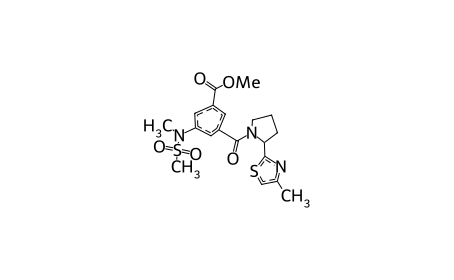 COC(=O)c1cc(C(=O)N2CCCC2c2nc(C)cs2)cc(N(C)S(C)(=O)=O)c1